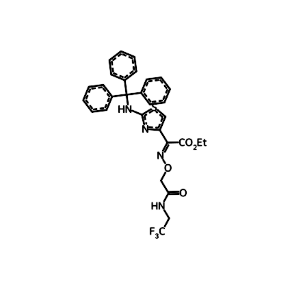 CCOC(=O)C(=NOCC(=O)NCC(F)(F)F)c1csc(NC(c2ccccc2)(c2ccccc2)c2ccccc2)n1